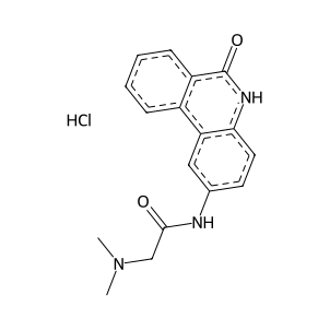 CN(C)CC(=O)Nc1ccc2[nH]c(=O)c3ccccc3c2c1.Cl